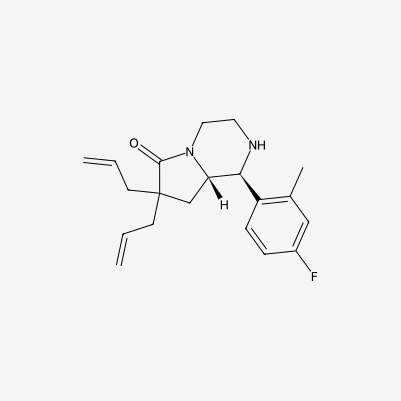 C=CCC1(CC=C)C[C@H]2[C@H](c3ccc(F)cc3C)NCCN2C1=O